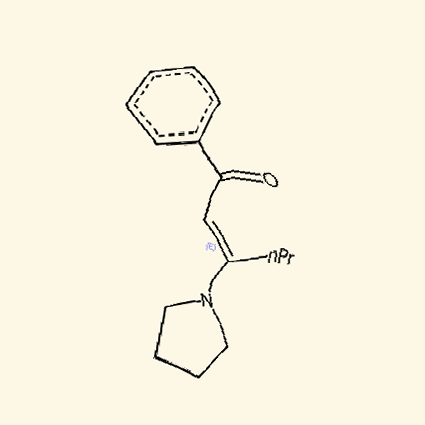 CCC/C(=C\C(=O)c1ccccc1)N1CCCC1